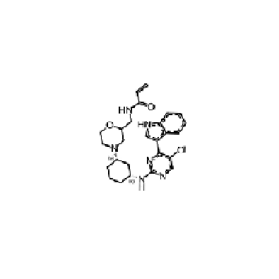 C=CC(=O)NCC1CN([C@H]2CCC[C@@H](Nc3ncc(Cl)c(-c4c[nH]c5ccccc45)n3)C2)CCO1